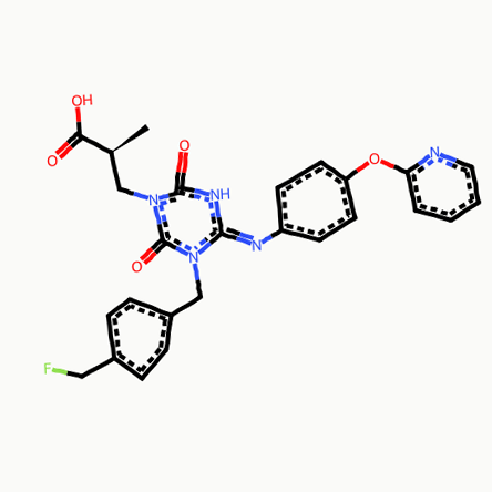 C[C@@H](Cn1c(=O)[nH]/c(=N\c2ccc(Oc3ccccn3)cc2)n(Cc2ccc(CF)cc2)c1=O)C(=O)O